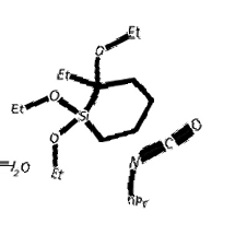 CCCN=C=O.CCOC1(CC)CCCC[Si]1(OCC)OCC.O